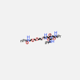 CCCC(=O)NCCOCCOCCC/B=C\NCCC(=O)N(CC(=O)NC(C)C)CC(=O)NC(C)C